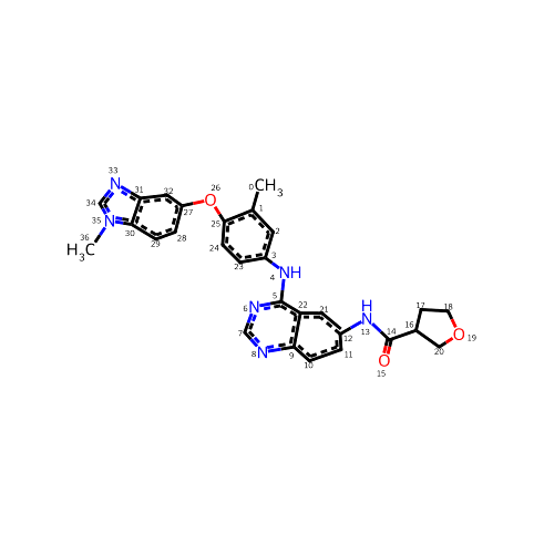 Cc1cc(Nc2ncnc3ccc(NC(=O)C4CCOC4)cc23)ccc1Oc1ccc2c(c1)ncn2C